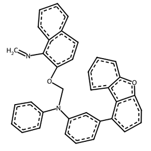 C=Nc1c(OCN(c2ccccc2)c2cccc(-c3cccc4oc5ccccc5c34)c2)ccc2ccccc12